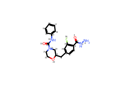 NNC(=O)c1ccc(CC2CN(C(=O)Nc3ccccc3)CCO2)cc1F